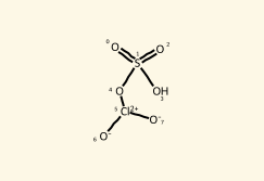 O=S(=O)(O)O[Cl+2]([O-])[O-]